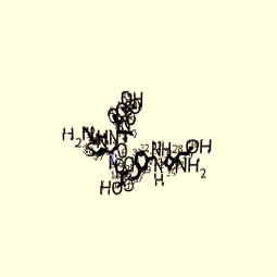 CC1(C)[C@H](NC(=O)/C(=N\O[C@](C)(C(=O)O)[C@H]2CCc3cc(C(=N)N[C@H]4C[C@](N)(CCO)C4)ccc3O2)c2csc(N)n2)C(=O)N1OS(=O)(=O)O